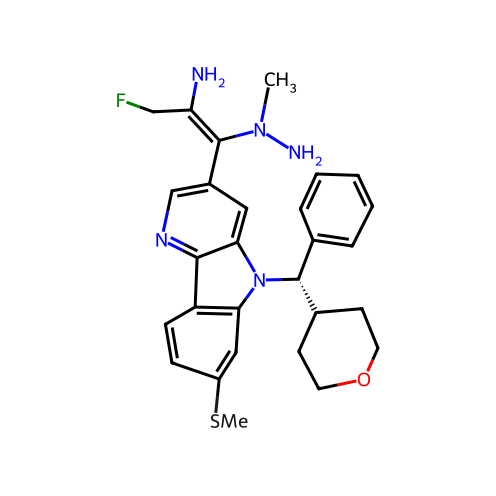 CSc1ccc2c3ncc(/C(=C(/N)CF)N(C)N)cc3n([C@H](c3ccccc3)C3CCOCC3)c2c1